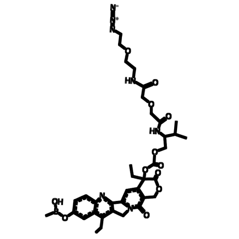 CCc1c2c(nc3ccc(OB(C)O)cc13)-c1cc3c(c(=O)n1C2)COC(=O)C3(CC)OC(=O)OCC(NC(=O)COCC(=O)NCCOCCN=[N+]=[N-])C(C)C